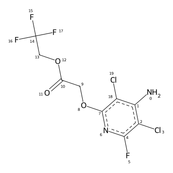 Nc1c(Cl)c(F)nc(OCC(=O)OCC(F)(F)F)c1Cl